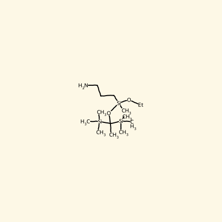 CCO[Si](C)(CCCN)OC(C)([Si](C)(C)C)[Si](C)(C)C